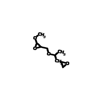 C1CO1.COC1OC1COC(C)C